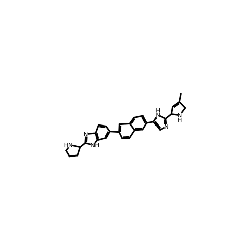 CC1=CC(c2ncc(-c3ccc4cc(-c5ccc6nc(C7CCCN7)[nH]c6c5)ccc4c3)[nH]2)NC1